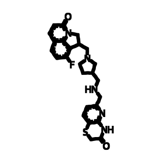 O=C1CSc2ccc(CNCC3CCN(CC4Cn5c(=O)ccc6ccc(F)c4c65)C3)nc2N1